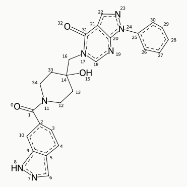 O=C(c1ccc2cn[nH]c2c1)N1CCC(O)(Cn2cnc3c(cnn3-c3ccccc3)c2=O)CC1